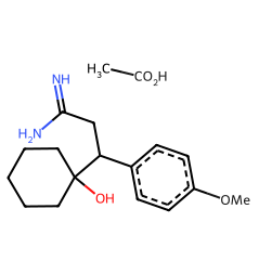 CC(=O)O.COc1ccc(C(CC(=N)N)C2(O)CCCCC2)cc1